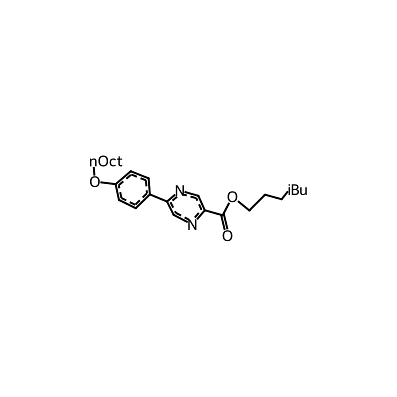 CCCCCCCCOc1ccc(-c2cnc(C(=O)OCCCC(C)CC)cn2)cc1